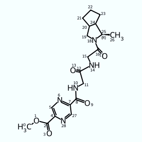 COC(=O)c1cnc(C(=O)NCC(=O)NCC(=O)N2CC3CCCC3[C@H]2C)cn1